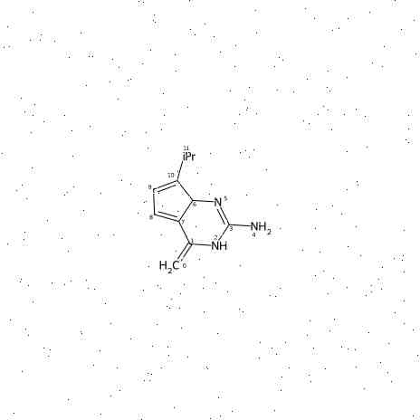 C=C1NC(N)=NC2C1=CC=C2C(C)C